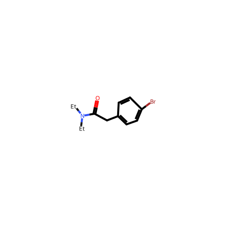 CCN(CC)C(=O)Cc1ccc(Br)cc1